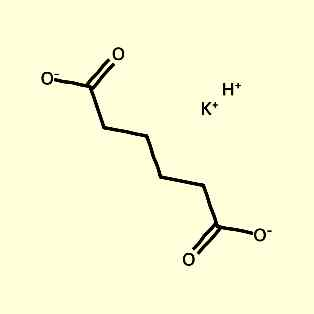 O=C([O-])CCCCC(=O)[O-].[H+].[K+]